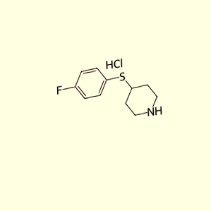 Cl.Fc1ccc(SC2CCNCC2)cc1